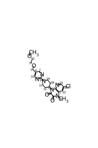 COCCOCc1cnc(N2CCC(n3c(=O)c(=O)n(C)c4cc(Cl)cnc43)CC2)nc1